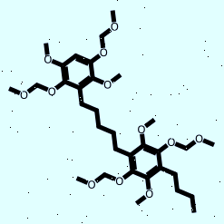 CCCCc1c(OC)c(OCOC)c(CCCCCc2c(OC)c(OCOC)cc(OC)c2OCOC)c(OC)c1OCOC